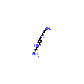 NCCCCCCNCc1ccc(CNCCCCCCN)cc1